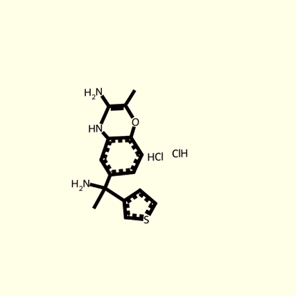 CC1=C(N)Nc2cc(C(C)(N)c3ccsc3)ccc2O1.Cl.Cl